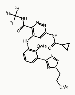 [2H]C([2H])([2H])NC(=O)c1nnc(NC(=O)C2CC2)cc1Nc1cccc(-c2ncn(CCOC)n2)c1OC